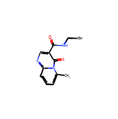 Cc1cccc2ncc(C(=O)NCC(C)(C)C)c(=O)n12